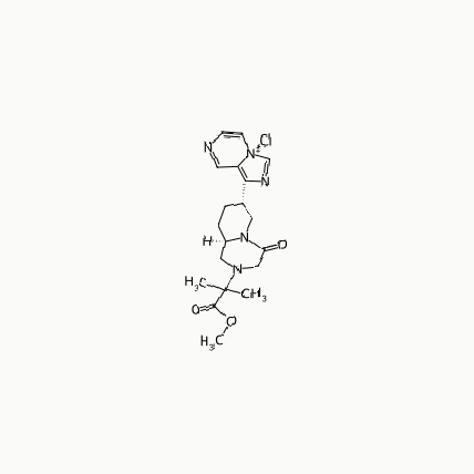 COC(=O)C(C)(C)N1CC(=O)N2C[C@@H](C3=C4C=NC=C[N+]4(Cl)C=N3)CC[C@@H]2C1